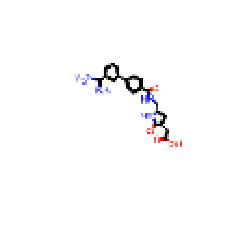 N=C(N)c1cccc(-c2ccc(C(=O)NC[C@@H]3C[C@@H](CC(=O)O)C(=O)N3)cc2)c1